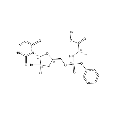 CC(C)OC(=O)[C@H](C)N[P@](=O)(OC[C@H]1[CH][C@@](Cl)(Br)[C@H](n2c(=O)cc[nH]c2=O)O1)Oc1ccccc1